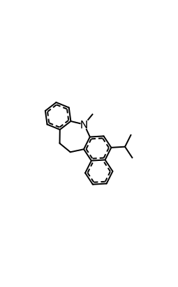 CC(C)c1cc2c(c3ccccc13)CCc1ccccc1N2C